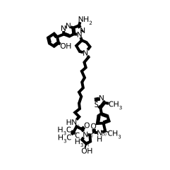 Cc1ncsc1-c1ccc([C@H](C)NC(=O)[C@@H]2C[C@@H](O)CN2C(=O)[C@@H](NCCCCCCCCCCCCCN2CCC(n3nc(N)c4nnc(-c5ccccc5O)cc43)CC2)C(C)(C)C)cc1